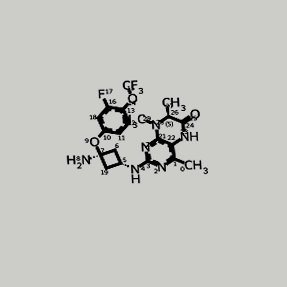 Cc1nc(N[C@H]2C[C@](N)(Oc3ccc(OC(F)(F)F)c(F)c3)C2)nc2c1NC(=O)[C@H](C)N2C